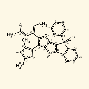 C/C=C(/C=C(/C)S)c1sc2c3c(sc2c1-c1cc(C)sc1C)-c1ccccc1P3(=S)c1ccccc1